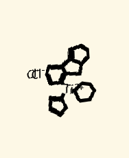 C1=CC[C]([Ti+2](=[C]2CCCCC2)[c]2cccc3c2Cc2ccccc2-3)=C1.[Cl-].[Cl-]